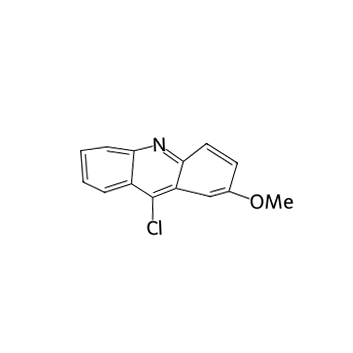 COc1ccc2nc3ccccc3c(Cl)c2c1